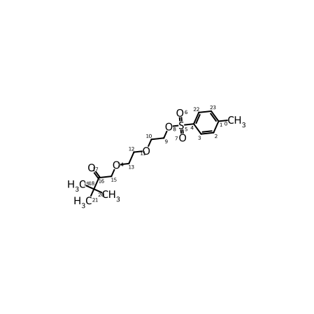 Cc1ccc(S(=O)(=O)OCCOCCOCC(=O)C(C)(C)C)cc1